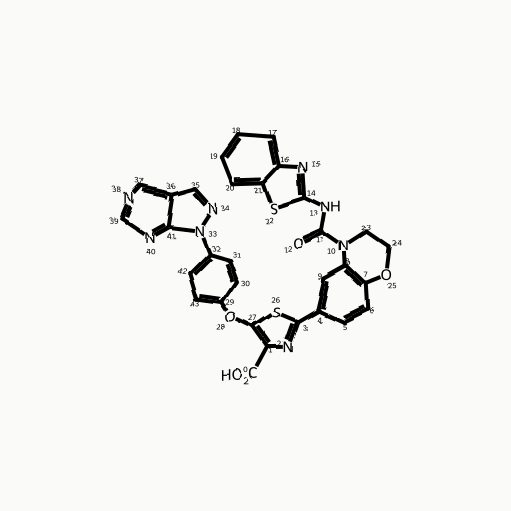 O=C(O)c1nc(-c2ccc3c(c2)N(C(=O)Nc2nc4ccccc4s2)CCO3)sc1Oc1ccc(-n2ncc3cncnc32)cc1